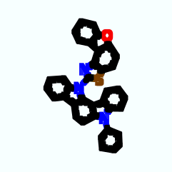 c1ccc(-n2c3ccccc3c3c2ccc2c4ccccc4n(-c4nc5c(ccc6oc7ccccc7c65)s4)c23)cc1